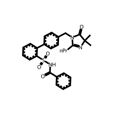 CCCC1=NC(C)(C)C(=O)N1Cc1ccc(-c2ccccc2S(=O)(=O)NC(=O)c2ccccc2)cc1